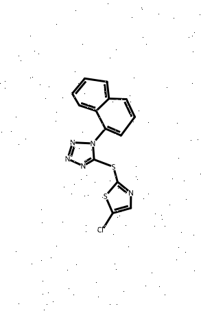 Clc1cnc(Sc2nnnn2-c2cccc3ccccc23)s1